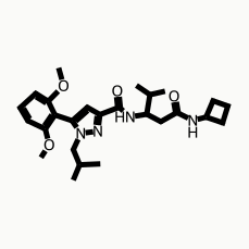 COc1cccc(OC)c1-c1cc(C(=O)NC(CC(=O)NC2CCC2)C(C)C)nn1CC(C)C